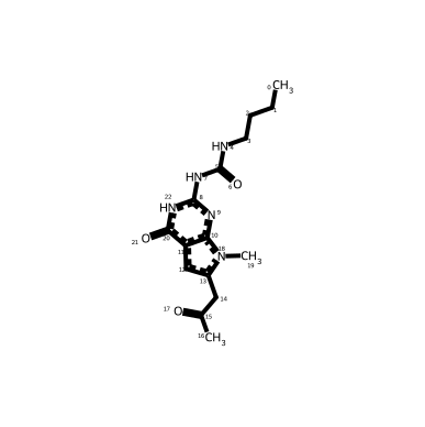 CCCCNC(=O)Nc1nc2c(cc(CC(C)=O)n2C)c(=O)[nH]1